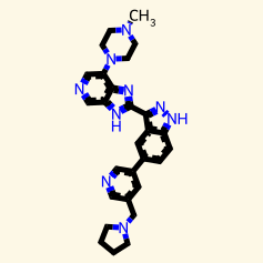 CN1CCN(c2cncc3[nH]c(-c4n[nH]c5ccc(-c6cncc(CN7CCCC7)c6)cc45)nc23)CC1